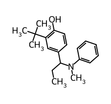 CCC(c1ccc(O)c(C(C)(C)C)c1)N(C)c1ccccc1